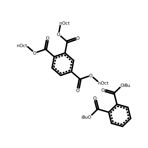 CC(C)COC(=O)c1ccccc1C(=O)OCC(C)C.CCCCCCCCOC(=O)c1ccc(C(=O)OCCCCCCCC)c(C(=O)OCCCCCCCC)c1